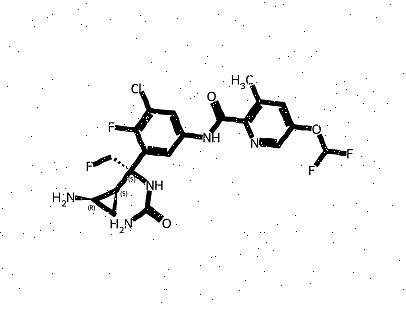 Cc1cc(OC(F)F)cnc1C(=O)Nc1cc(Cl)c(F)c([C@@](CF)(NC(N)=O)[C@H]2C[C@H]2N)c1